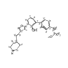 O=C(Nc1ccc(-c2cccc(-c3cc(CCC4CCNCC4)no3)c2O)cc1)C(F)(F)F